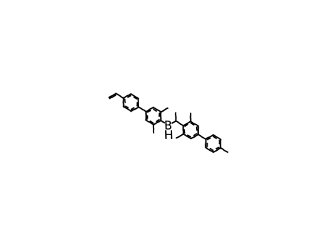 C=Cc1ccc(-c2cc(C)c(BC(C)c3c(C)cc(-c4ccc(C)cc4)cc3C)c(C)c2)cc1